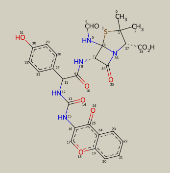 CC1(C)SC2(NC=O)[C@@H](NC(=O)C(NC(=O)Nc3coc4ccccc4c3=O)c3ccc(O)cc3)C(=O)N2[C@H]1C(=O)O